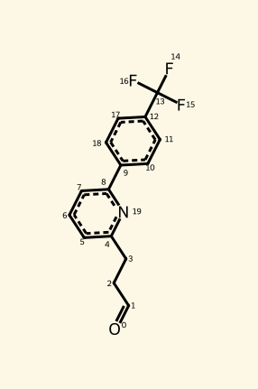 O=CCCc1cccc(-c2ccc(C(F)(F)F)cc2)n1